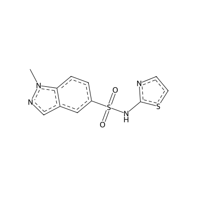 Cn1ncc2cc(S(=O)(=O)Nc3nccs3)ccc21